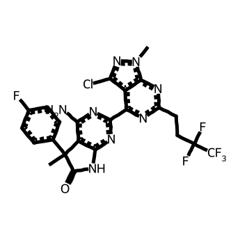 Cn1nc(Cl)c2c(-c3nc(N)c4c(n3)NC(=O)C4(C)c3ccc(F)cc3)nc(CCC(F)(F)C(F)(F)F)nc21